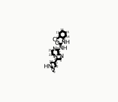 CN1C=C(c2cnc3c(NC(=O)Nc4ccccc4Cl)nccn23)CN1